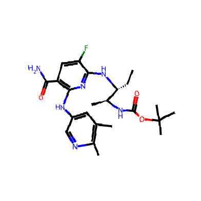 CC[C@@H](Nc1nc(Nc2cnc(C)c(C)c2)c(C(N)=O)cc1F)[C@H](C)NC(=O)OC(C)(C)C